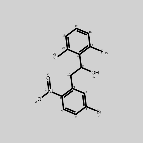 O=[N+]([O-])c1ccc(Br)cc1CC(O)c1c(F)cccc1Cl